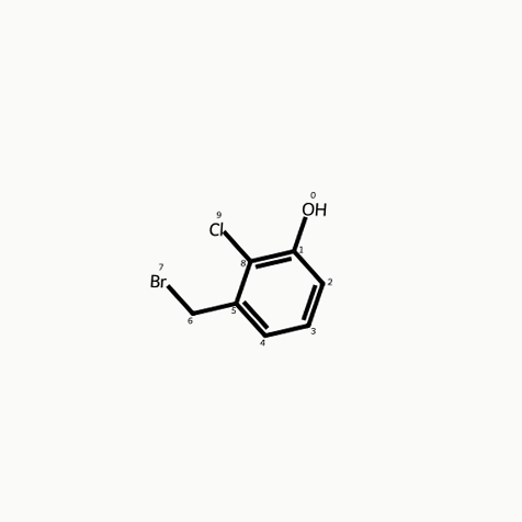 Oc1cccc(CBr)c1Cl